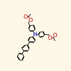 CC(=O)OCc1ccc(N(c2ccc(COC(C)=O)cc2)c2ccc(-c3ccc(-c4ccccc4)cc3)cc2)cc1